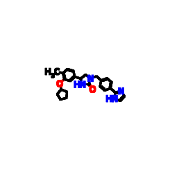 Cc1ccc(C2CN(Cc3ccc(-c4ncc[nH]4)cc3)C(=O)N2)cc1OC1CCCC1